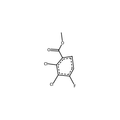 COC(=O)c1ccc(F)c(Cl)c1Cl